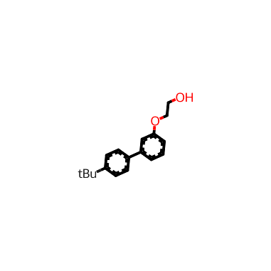 CC(C)(C)c1ccc(-c2cccc(OCCO)c2)cc1